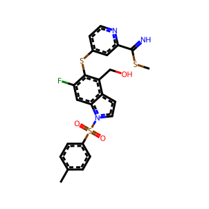 CSC(=N)c1cc(Sc2c(F)cc3c(ccn3S(=O)(=O)c3ccc(C)cc3)c2CO)ccn1